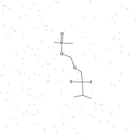 CC(C)C(F)(F)COCOP(C)(C)=O